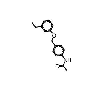 CCc1cccc(OCc2ccc(NC(C)=O)cc2)c1